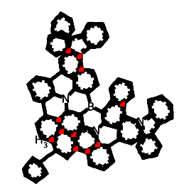 Cc1cc2c3c(c1)N(c1c(-c4cccc(-c5ccccc5)c4)cccc1-c1cccc(-c4ccccc4)c1)c1cc(-n4c5ccccc5c5ccccc54)ccc1B3c1ccc(-n3c4ccccc4c4ccccc43)cc1N2c1c(-c2cccc(-c3ccccc3)c2)cccc1-c1cccc(-c2ccccc2)c1